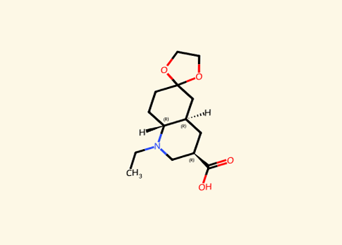 CCN1C[C@H](C(=O)O)C[C@@H]2CC3(CC[C@H]21)OCCO3